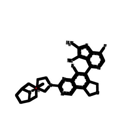 CN1CC2CCC(C1)N2[C@@H]1CCN(c2ncc3c4c(c(-c5ncc(F)c6sc(N)c(C#N)c56)c(F)c3n2)COC4)C1